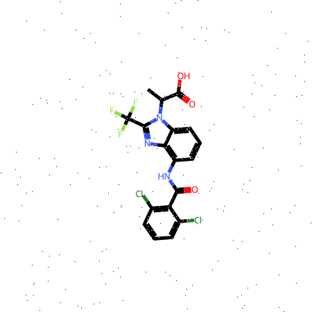 CC(C(=O)O)n1c(C(F)(F)F)nc2c(NC(=O)c3c(Cl)cccc3Cl)cccc21